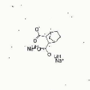 O=C([O-])C1C2CCC(C2)C1C(=O)[O-].[LiH].[LiH].[Na+].[Na+]